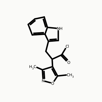 Cc1noc(C)c1C(Cc1c[nH]c2ccccc12)C(=O)Cl